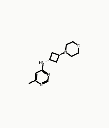 Cc1cc(N[C@H]2C[C@H](N3CCOCC3)C2)ncn1